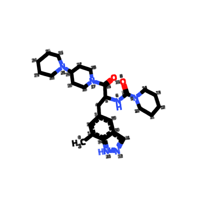 Cc1cc(CC(NC(=O)N2CCCCC2)C(=O)N2CCC(N3CCCCC3)CC2)cc2cn[nH]c12